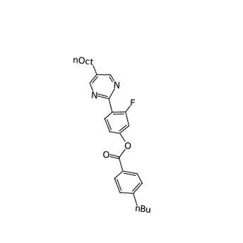 CCCCCCCCc1cnc(-c2ccc(OC(=O)c3ccc(CCCC)cc3)cc2F)nc1